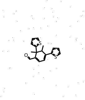 CC1C(c2cccs2)=CC=C(C=O)C1(C)c1cccs1